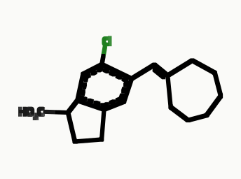 O=C(O)C1CCc2cc(C=C3CCCCCC3)c(Cl)cc21